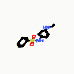 CCNc1ccc(NS(=O)(=O)c2ccccc2)cc1